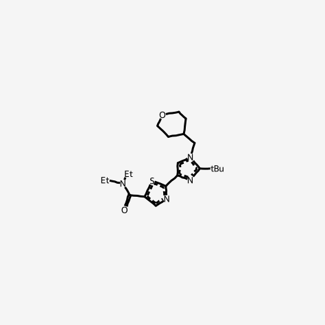 CCN(CC)C(=O)c1cnc(-c2cn(CC3CCOCC3)c(C(C)(C)C)n2)s1